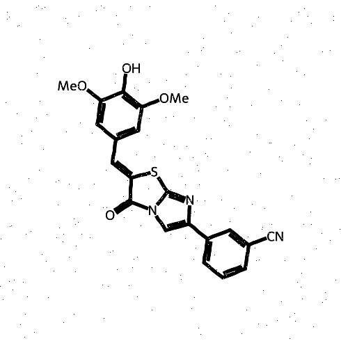 COc1cc(/C=c2\sc3nc(-c4cccc(C#N)c4)cn3c2=O)cc(OC)c1O